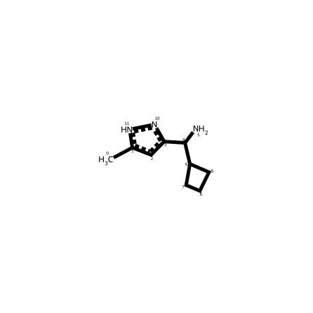 Cc1cc(C(N)C2CCC2)n[nH]1